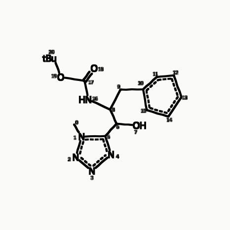 Cn1nnnc1C(O)C(Cc1ccccc1)NC(=O)OC(C)(C)C